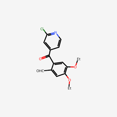 CCOc1cc(C=O)c(C(=O)c2ccnc(Cl)c2)cc1OCC